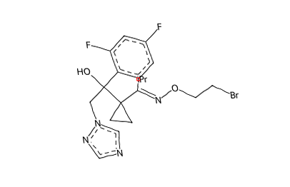 CC(C)/C(=N\OCCBr)C1(C(O)(Cn2cncn2)c2ccc(F)cc2F)CC1